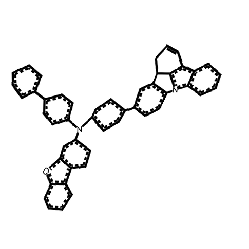 C1=Cc2c3n(c4ccccc24)-c2ccc(-c4ccc(N(c5ccc(-c6ccccc6)cc5)c5ccc6c(c5)oc5ccccc56)cc4)cc2C3C1